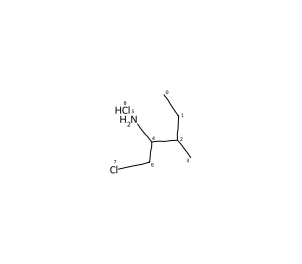 CCC(C)C(N)CCl.Cl